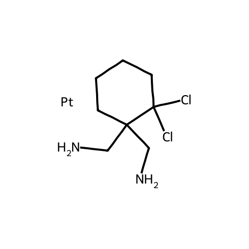 NCC1(CN)CCCCC1(Cl)Cl.[Pt]